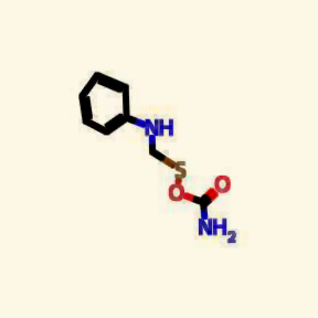 NC(=O)OSCNc1ccccc1